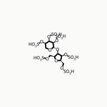 O=S(=O)(O)OC[C@@H]1O[C@H](COS(=O)(=O)O)[C@H](OS(=O)(=O)O)[C@@H]1O[C@@H]1OC[C@@H](OS(=O)(=O)O)[C@@H](OS(=O)(=O)O)[C@H]1OS(=O)(=O)O